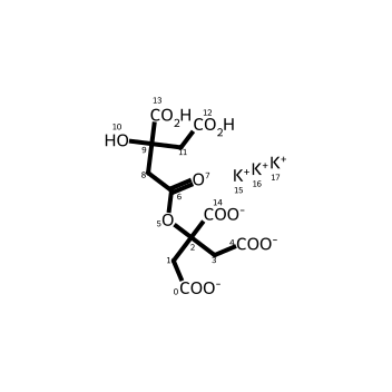 O=C([O-])CC(CC(=O)[O-])(OC(=O)CC(O)(CC(=O)O)C(=O)O)C(=O)[O-].[K+].[K+].[K+]